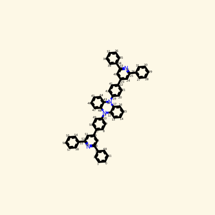 c1ccc(-c2cc(-c3ccc(N4c5ccccc5N(c5ccc(-c6cc(-c7ccccc7)nc(-c7ccccc7)c6)cc5)c5ccccc54)cc3)cc(-c3ccccc3)n2)cc1